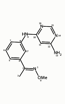 CON=C(C)c1cccc(Nc2cc(N)ncn2)c1